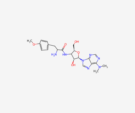 COc1ccc(CC(N)C(=O)NC2[C@@H](CO)O[C@@H](n3cnc4c(N(C)C)ncnc43)[C@H]2O)cc1